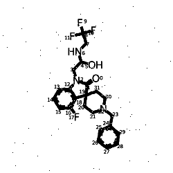 O=C1N(CC(O)NCC(F)(F)F)c2cccc(F)c2C12CCN(Cc1ccccc1)CC2